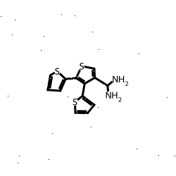 NC(N)c1csc(-c2cccs2)c1-c1cccs1